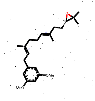 COc1cc(C/C=C(\C)CC/C=C(\C)CC[C@H]2OC2(C)C)cc(OC)c1